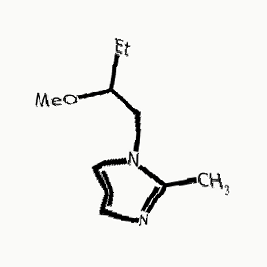 CCC(Cn1ccnc1C)OC